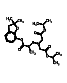 CC(C)OC(=O)CN(CC(=O)OC(C)C)SN(C)C(=O)Oc1cccc2c1OC(C)(C)C2